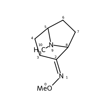 CON=C1CCC2CCC1N2C